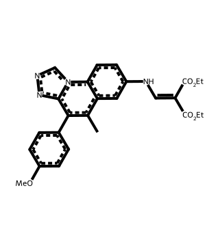 CCOC(=O)C(=CNc1ccc2c(c1)c(C)c(-c1ccc(OC)cc1)c1nncn12)C(=O)OCC